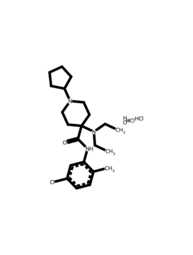 CCN(CC)C1(C(=O)Nc2cc(Cl)ccc2C)CCN(C2CCCC2)CC1.Cl.Cl.O